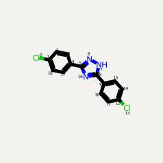 Clc1ccc(-c2n[nH]c(-c3ccc(Cl)cc3)n2)cc1